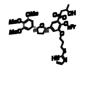 CCCOc1c(OCCCSc2ncc[nH]2)cc([C@H]2CC[C@H](c3cc(OC)c(OC)c(OC)c3)O2)cc1S(=O)(=O)CC(C)O